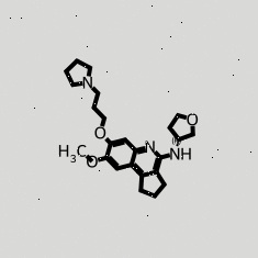 COc1cc2c3c(c(N[C@@H]4CCOC4)nc2cc1OCCCN1CCCC1)CCC3